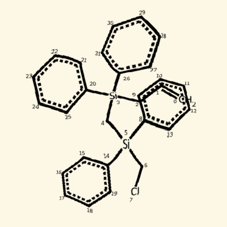 C=CC[Si](C[Si](CCl)(c1ccccc1)c1ccccc1)(c1ccccc1)c1ccccc1